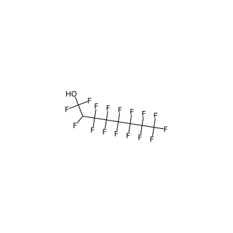 OC(F)(F)C(F)C(F)(F)C(F)(F)C(F)(F)C(F)(F)C(F)(F)C(F)(F)F